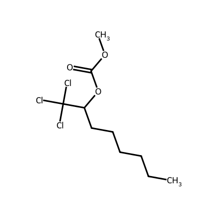 CCCCCCC(OC(=O)OC)C(Cl)(Cl)Cl